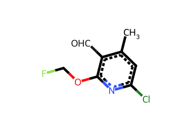 Cc1cc(Cl)nc(OCF)c1C=O